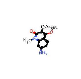 CCCCOc1c(OC(C)=O)c(=O)n(C)c2cc(N)ccc12